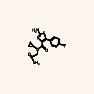 NC(=O)CN(C(=O)c1nc(N)sc1-c1ccc(F)cc1)C1CC1